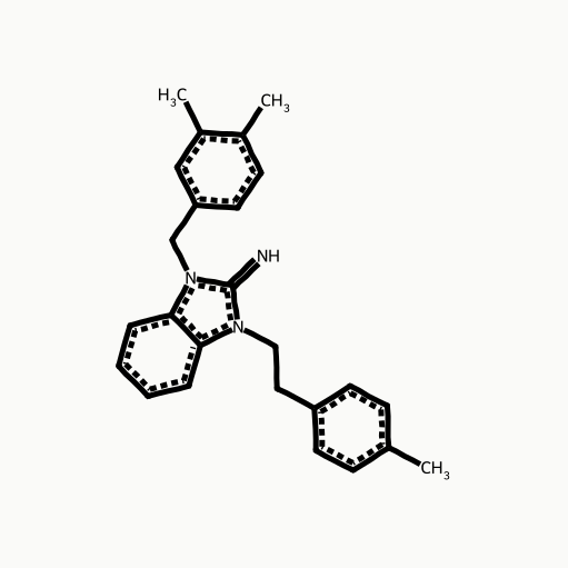 Cc1ccc(CCn2c(=N)n(Cc3ccc(C)c(C)c3)c3ccccc32)cc1